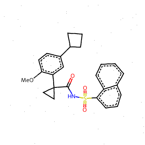 COc1ccc(C2CCC2)cc1C1(C(=O)NS(=O)(=O)c2cccc3ccccc23)CC1